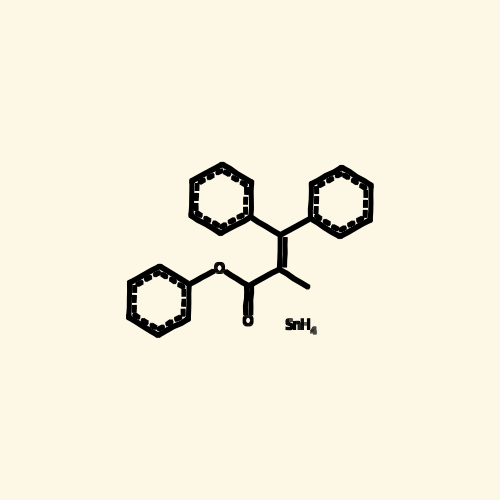 CC(C(=O)Oc1ccccc1)=C(c1ccccc1)c1ccccc1.[SnH4]